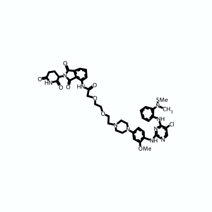 COc1cc(N2CCN(CCOCCOCC(=O)Nc3cccc4c3C(=O)N(C3CCC(=O)NC3=O)C4=O)CC2)ccc1Nc1ncc(Cl)c(Nc2ccccc2N(C)SC)n1